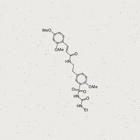 CCNC(=O)NS(=O)(=O)c1cc(CCNC(=O)/C=C/c2ccc(OC)cc2OC)ccc1OC